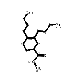 CCCCC1=C(CCCC)CC(C(=O)OC)CC1